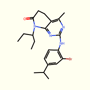 CCC(CC)N1C(=O)CCc2c(C)nc(Nc3ccc(C(C)C)cc3Br)nc21